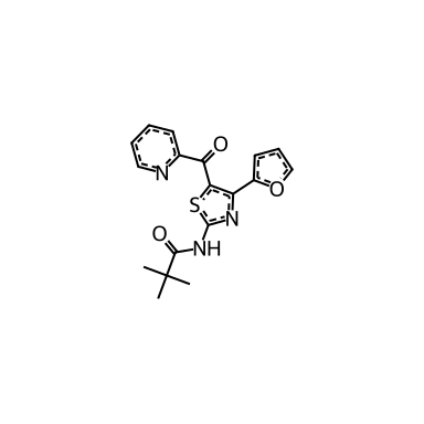 CC(C)(C)C(=O)Nc1nc(-c2ccco2)c(C(=O)c2ccccn2)s1